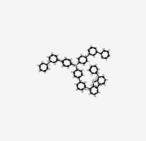 c1ccc(-c2cccc(-c3ccc(N(c4ccc(-c5cccc(-c6ccccc6)c5)cc4)c4ccc(-c5cccc(-c6cccc7c6oc6c(-c8ccccc8)cccc67)c5)cc4)cc3)c2)cc1